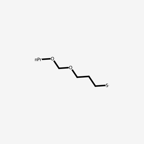 CCCOCOCCC[S]